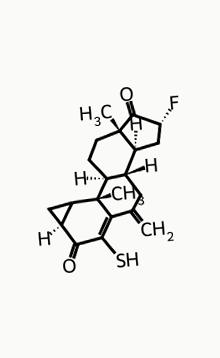 C=C1C[C@H]2[C@@H]3C[C@@H](F)C(=O)[C@@]3(C)CC[C@@H]2[C@]2(C)C1=C(S)C(=O)[C@H]1CC12